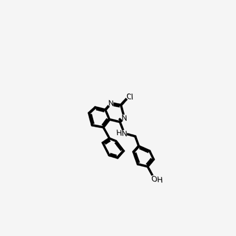 Oc1ccc(CNc2nc(Cl)nc3cccc(-c4ccccc4)c23)cc1